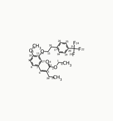 CCOC(=O)/C(=C\c1ccc(OC)c(OCCc2ccc(C(F)(F)F)cc2)c1)CC